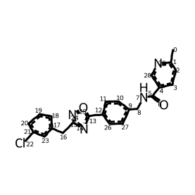 Cc1ccc(C(=O)NCc2ccc(-c3nc(Cc4cccc(Cl)c4)no3)cc2)cn1